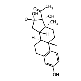 CC(=O)[C@]1(O)C(O)(O)C[C@H]2[C@@H]3CCc4cc(O)ccc4[C@H]3CC[C@@]21C